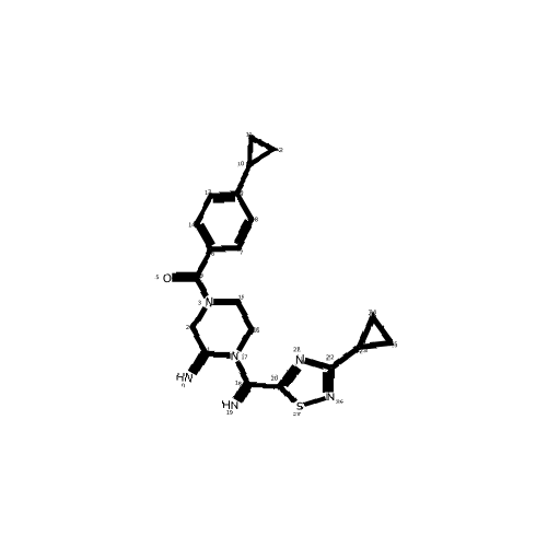 N=C1CN(C(=O)c2ccc(C3CC3)cc2)CCN1C(=N)c1nc(C2CC2)ns1